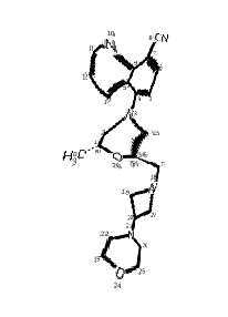 C[C@@H]1CN(c2ccc(C#N)c3ncccc23)C[C@@H](CN2CC(N3CCOCC3)C2)O1